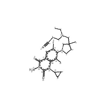 CCN(CCC#N)CC1(C)CCN(c2c(F)cc3c(=O)n(N)c(=O)n(C4CC4)c3c2C)C1